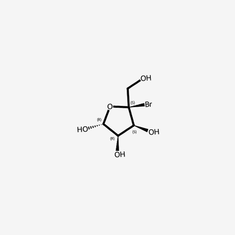 OC[C@@]1(Br)O[C@@H](O)[C@H](O)[C@@H]1O